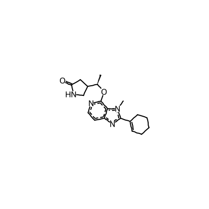 C[C@@H](Oc1nccc2nc(C3=CCCCC3)n(C)c12)C1CNC(=O)C1